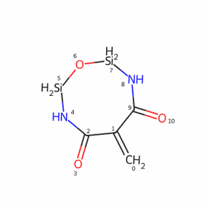 C=C1C(=O)N[SiH2]O[SiH2]NC1=O